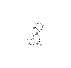 C1CCC(C(CC2CCCC2)CC2CC2)CC1